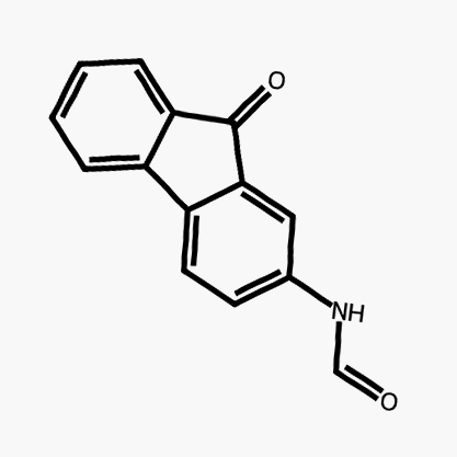 O=CNc1ccc2c(c1)C(=O)c1ccccc1-2